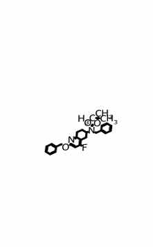 CC(C)(C)OC(=O)N(Cc1ccccc1)C1CCc2nc(OCc3ccccc3)cc(F)c2C1